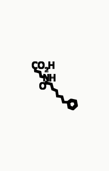 O=C(O)CCCNC(=O)CCCCCCc1ccccc1